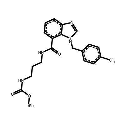 CC(C)(C)OC(=O)NCCCNC(=O)c1cccc2c1[SH](Cc1ccc(C(F)(F)F)cc1)C=N2